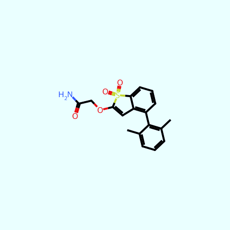 Cc1cccc(C)c1-c1cccc2c1C=C(OCC(N)=O)S2(=O)=O